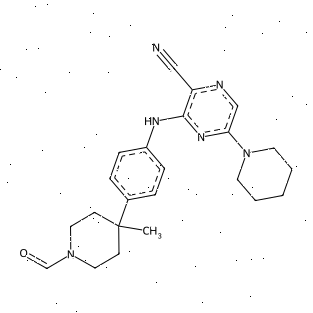 CC1(c2ccc(Nc3nc(N4CCCCC4)cnc3C#N)cc2)CCN(C=O)CC1